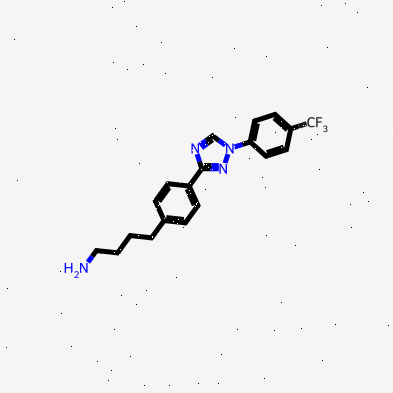 NCCCCc1ccc(-c2ncn(-c3ccc(C(F)(F)F)cc3)n2)cc1